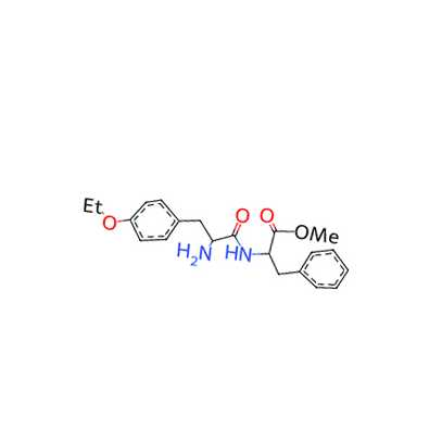 CCOc1ccc(CC(N)C(=O)NC(Cc2ccccc2)C(=O)OC)cc1